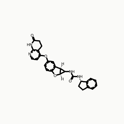 O=C1CCc2c(Oc3ccc4c(c3)[C@H]3C(NC(=O)N[C@H]5CCc6ccccc65)[C@H]3O4)ccnc2N1